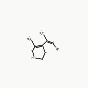 CC1=C(/C(C)=C\S)CCNC1